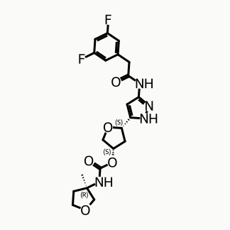 C[C@@]1(NC(=O)O[C@@H]2CO[C@H](c3cc(NC(=O)Cc4cc(F)cc(F)c4)n[nH]3)C2)CCOC1